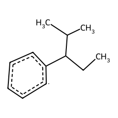 CCC(c1[c]cccc1)C(C)C